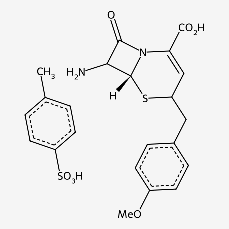 COc1ccc(CC2C=C(C(=O)O)N3C(=O)C(N)[C@H]3S2)cc1.Cc1ccc(S(=O)(=O)O)cc1